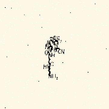 C[C@@H]1CCN(C(=O)CC#N)C[C@@H]1N(C)c1ncnc2c1ccn2C(=O)NCCCC(=O)NCCCCN